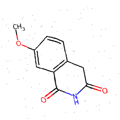 COc1ccc2c(c1)C(=O)NC(=O)C2